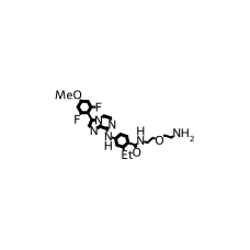 CCc1cc(Nc2nccn3c(-c4c(F)cc(OC)cc4F)cnc23)ccc1C(=O)NCCOCCN